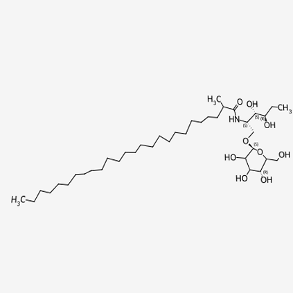 CCCCCCCCCCCCCCCCCCCCCCCCC(C)C(=O)N[C@@H](CO[C@H]1OC(CO)[C@H](O)C(O)C1O)[C@H](O)[C@H](O)CC